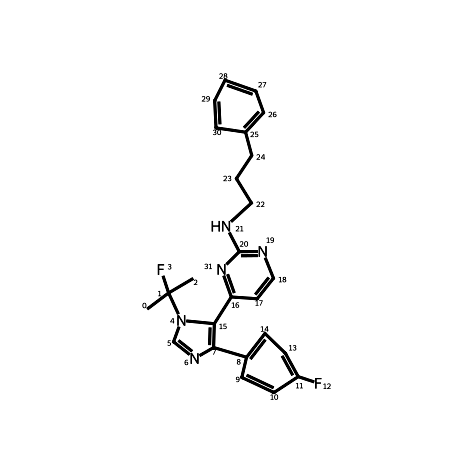 CC(C)(F)n1cnc(-c2ccc(F)cc2)c1-c1ccnc(NCCCc2ccccc2)n1